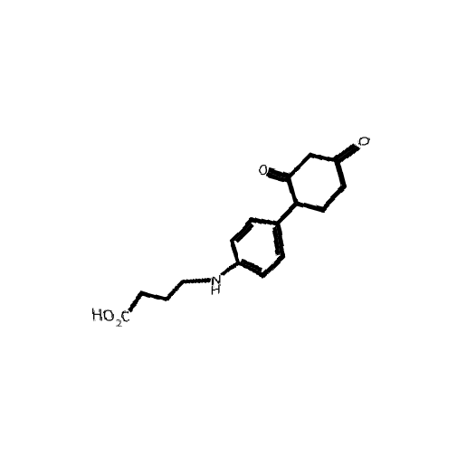 O=C(O)CCCNc1ccc(C2CCC(=O)CC2=O)cc1